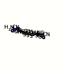 CC1(C)c2c(sc3c2C(C)(C)c2c-3sc3cc(-c4nc5sc(/C=C6\C(=O)c7ccccc7\C6=C(/N)C#N)nc5s4)sc23)-c2sc3cc(-c4nc5sc(/C=C6\C(=O)c7ccccc7C6=C(C#N)C#N)nc5s4)sc3c21